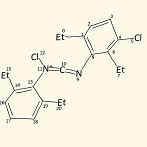 CCc1ccc(Cl)c(CC)c1N=C=[N+](Cl)c1c(CC)cccc1CC